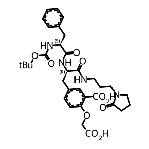 CC(C)(C)OC(=O)N[C@@H](Cc1ccccc1)C(=O)N[C@H](Cc1ccc(OCC(=O)O)c(C(=O)O)c1)C(=O)NCCCN1CCCC1=O